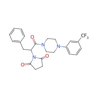 O=C(C(Cc1ccccc1)N1C(=O)CCC1=O)N1CCN(c2cccc(C(F)(F)F)c2)CC1